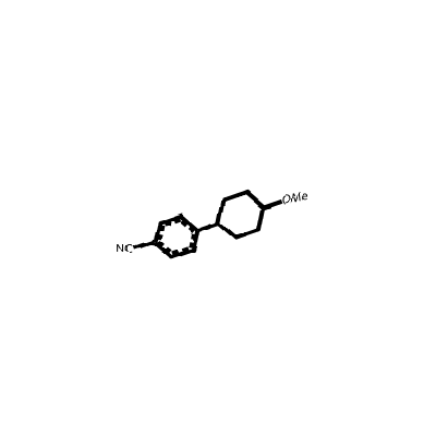 COC1CCC(c2ccc(C#N)cc2)CC1